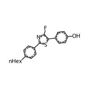 CCCCCCc1ccc(-c2nc(F)c(-c3ccc(O)cc3)s2)cc1